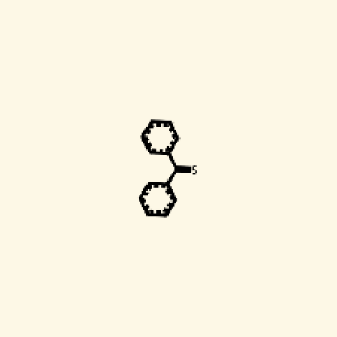 S=C(c1c[c]ccc1)c1ccccc1